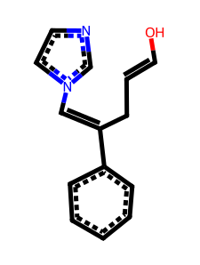 OC=CCC(=Cn1ccnc1)c1ccccc1